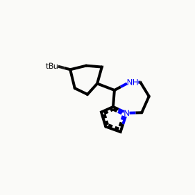 CC(C)(C)C1CCC(C2NCCCn3cccc32)CC1